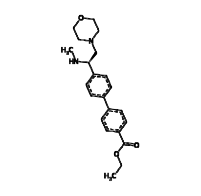 CCOC(=O)c1ccc(-c2ccc([C@H](CN3CCOCC3)NC)cc2)cc1